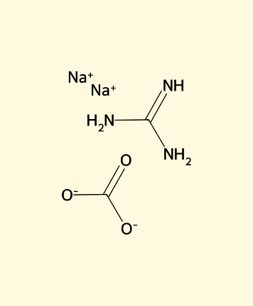 N=C(N)N.O=C([O-])[O-].[Na+].[Na+]